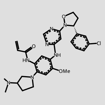 C=CC(=O)Nc1cc(Nc2cc(N3OCC[C@@H]3c3cccc(Cl)c3)ncn2)c(OC)cc1N1CCC(N(C)C)C1